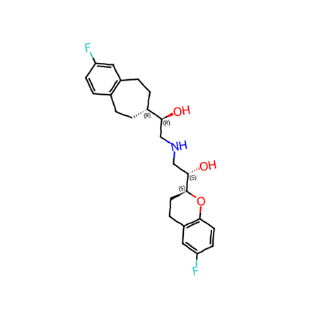 O[C@@H](CNC[C@H](O)[C@@H]1CCc2cc(F)ccc2O1)[C@@H]1CCc2ccc(F)cc2CC1